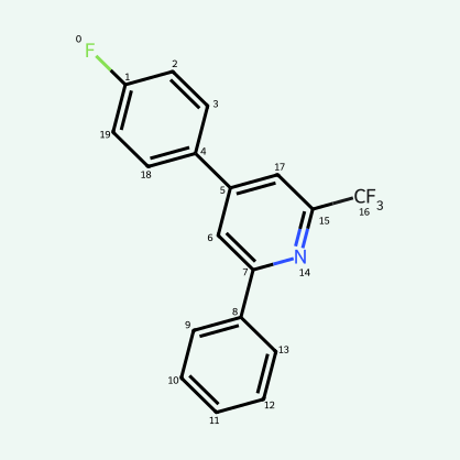 Fc1ccc(-c2cc(-c3ccccc3)nc(C(F)(F)F)c2)cc1